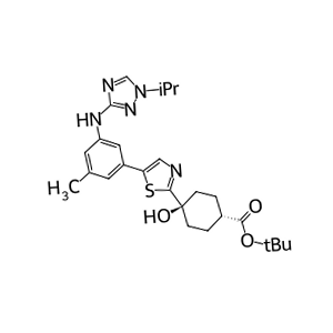 Cc1cc(Nc2ncn(C(C)C)n2)cc(-c2cnc([C@]3(O)CC[C@H](C(=O)OC(C)(C)C)CC3)s2)c1